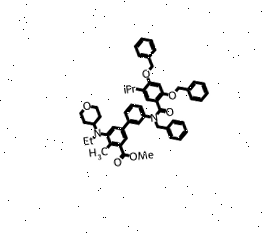 CCN(c1cc(-c2cccc(N(Cc3ccccc3)C(=O)c3cc(C(C)C)c(OCc4ccccc4)cc3OCc3ccccc3)c2)cc(C(=O)OC)c1C)C1CCOCC1